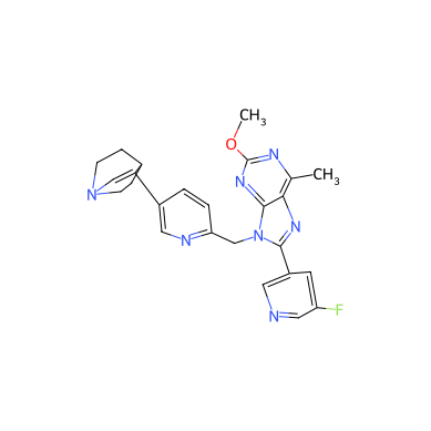 COc1nc(C)c2nc(-c3cncc(F)c3)n(Cc3ccc(C4=CN5CCC4CC5)cn3)c2n1